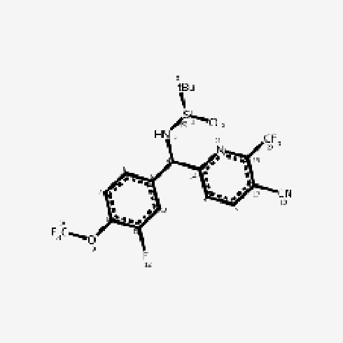 CC(C)(C)[S@@+]([O-])NC(c1ccc(OC(F)(F)F)c(F)c1)c1ccc(C#N)c(C(F)(F)F)n1